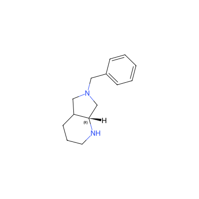 c1ccc(CN2CC3CCCN[C@H]3C2)cc1